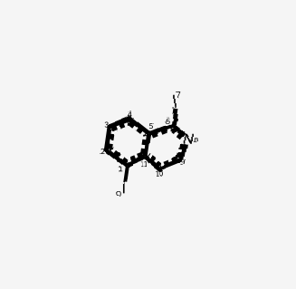 Ic1cccc2c(I)nccc12